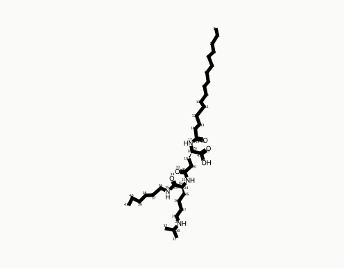 CCCCCCCCCCCCCCCC(=O)N[C@@H](CCC(=O)N[C@@H](CCCCNC(C)C)C(=O)NCCCCCC)C(=O)O